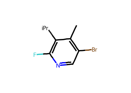 Cc1c(Br)cnc(F)c1C(C)C